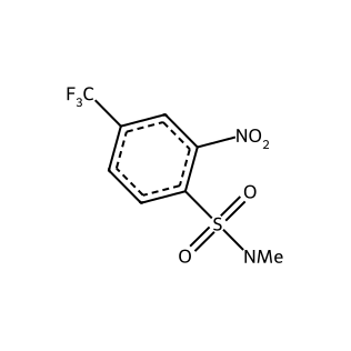 CNS(=O)(=O)c1ccc(C(F)(F)F)cc1[N+](=O)[O-]